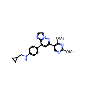 COc1ncc(-c2cc(-c3ccc(NCC4CC4)cc3)c3nccn3n2)c(OC)n1